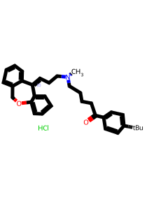 CN(CC/C=C1/c2ccccc2COc2ccccc21)CCCCC(=O)c1ccc(C(C)(C)C)cc1.Cl